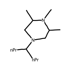 CCCC(CCC)N1CC(C)N(C)C(C)C1